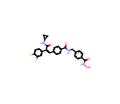 O=C(NC1CC1)C(=Cc1ccc(C(=O)NCc2ccc(C(=O)NO)cc2)cc1)c1ccc(F)c(F)c1